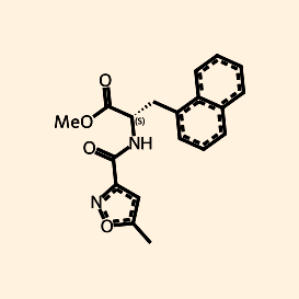 COC(=O)[C@H](Cc1cccc2ccccc12)NC(=O)c1cc(C)on1